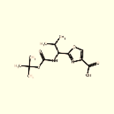 CC(C)C(NC(=O)OC(C)(C)C)c1nc(C(=O)O)co1